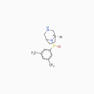 [O-][S+](c1cc(C(F)(F)F)cc(C(F)(F)F)c1)N1C2CC[C@@H]1CNC2